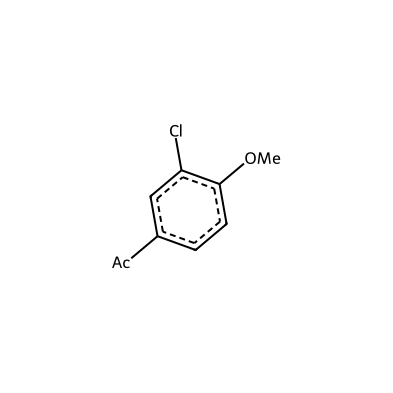 COc1ccc(C(C)=O)cc1Cl